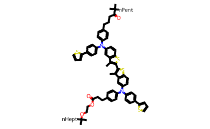 CCCCCCCC(C)(C)OCCOC(=O)CCc1ccc(N(c2ccc(-c3cccs3)cc2)c2ccc3sc(-c4sc5ccc(N(c6ccc(CCCC(=O)C(C)(C)CCCCC)cc6)c6ccc(-c7cccs7)cc6)cc5c4C)c(C)c3c2)cc1